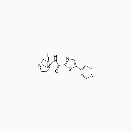 O=C(N[C@H]1CN2CCC1CC2)c1ncc(-c2ccncc2)s1